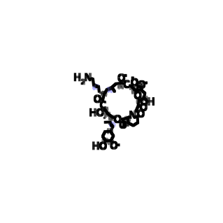 CO[C@H]1C/C(C)=C/[C@@H](C/C=C/CN)C(=O)C[C@H](O)[C@@H](C)[C@@H](/C(C)=C/[C@@H]2CC[C@@H](O)[C@H](OC)C2)OC(=O)[C@@H]2CCCCN2C(=O)C(=O)[C@]2(O)O[C@H]([C@@H](OC)C1)[C@@H](OC)C[C@H]2C